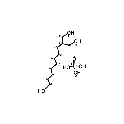 O=P(O)(O)O.OCCCCCCCCC(CO)CO